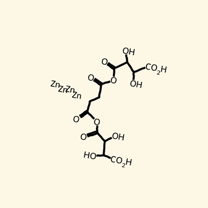 O=C(CCC(=O)OC(=O)C(O)C(O)C(=O)O)OC(=O)C(O)C(O)C(=O)O.[Zn].[Zn].[Zn].[Zn]